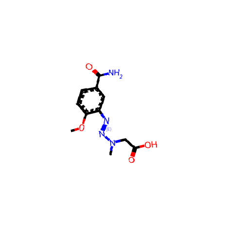 COc1ccc(C(N)=O)cc1/N=N/N(C)CC(=O)O